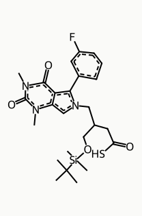 Cn1c(=O)c2c(-c3cccc(F)c3)n(CC(CO[Si](C)(C)C(C)(C)C)CC(=O)S)cc2n(C)c1=O